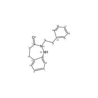 O=C1CCc2ccccc2NN1CCc1ccccc1